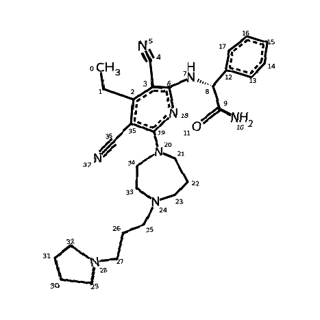 CCc1c(C#N)c(N[C@@H](C(N)=O)c2ccccc2)nc(N2CCCN(CCCN3CCCC3)CC2)c1C#N